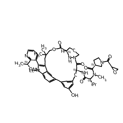 CCn1c(-c2cccnc2[C@H](C)OC)c2c3cc(ccc31)-c1cc(O)cc(c1)C[C@H](NC(=O)[C@H](C(C)C)N(C)C(=O)[C@H]1CCN(C(=O)C3CO3)C1)C(=O)N1CCC[C@H](N1)C(=O)OCC(C)(C)C2